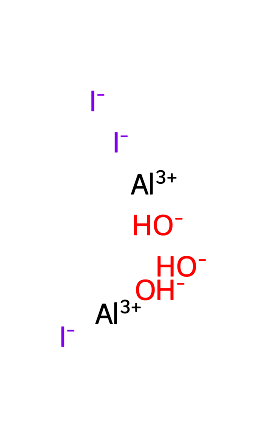 [Al+3].[Al+3].[I-].[I-].[I-].[OH-].[OH-].[OH-]